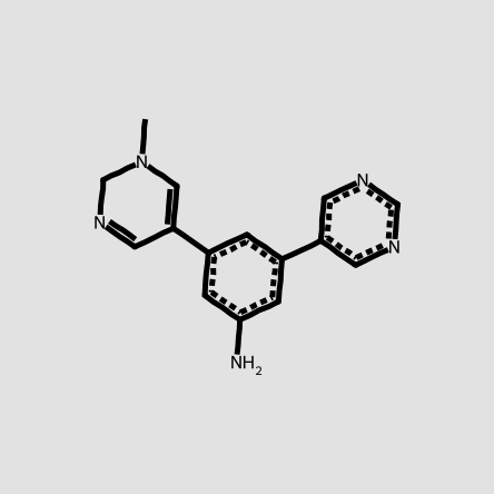 CN1C=C(c2cc(N)cc(-c3cncnc3)c2)C=NC1